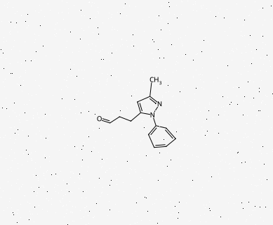 Cc1cc(CCC=O)n(-c2ccccc2)n1